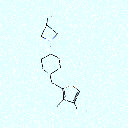 COC1CN([C@H]2CC[C@H]([C@@H](C)c3scc(C(=O)O)c3C)CC2)C1.Cl